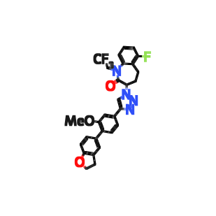 COc1cc(-c2cn(C3CCc4c(F)cccc4N(CC(F)(F)F)C3=O)nn2)ccc1-c1ccc2c(c1)CCO2